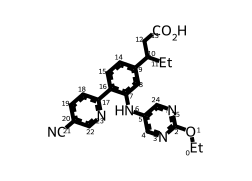 CCOc1ncc(Nc2cc(C(CC)CC(=O)O)ccc2-c2ccc(C#N)cn2)cn1